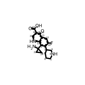 NC1(c2c(C3CCCNC3)c(F)cc3c(=O)c(C(=O)O)c[nH]c23)CC1